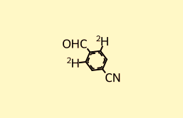 [2H]c1cc(C#N)cc([2H])c1C=O